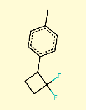 Cc1ccc(C2CCC2(F)F)cc1